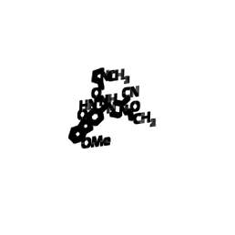 C=CC(=O)N1CCN(C2NC(OCC3CCCN3C)NC3C(=O)C4(CCC32)Cc2cccc(OC)c2C4)CC1CC#N